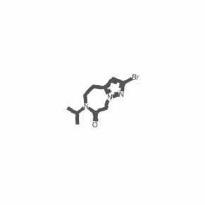 CC(C)N1CCc2cc(Br)nn2CC1=O